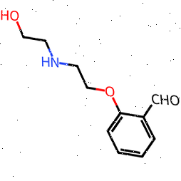 O=Cc1ccccc1OCCNCCO